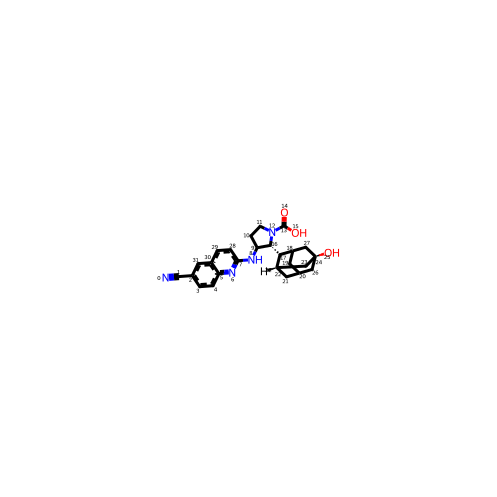 N#Cc1ccc2nc(NC3CCN(C(=O)O)[C@@H]3C3C4CC5C[C@H]3C[C@@](O)(C5)C4)ccc2c1